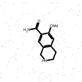 COc1cc2c(cc1C(N)=O)CNCC2